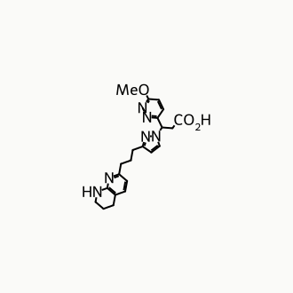 COc1ccc(C(CC(=O)O)n2ccc(CCCc3ccc4c(n3)NCCC4)n2)nn1